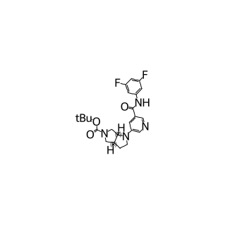 CC(C)(C)OC(=O)N1C[C@H]2CCN(c3cncc(C(=O)Nc4cc(F)cc(F)c4)c3)[C@H]2C1